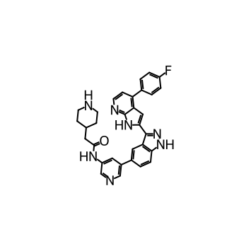 O=C(CC1CCNCC1)Nc1cncc(-c2ccc3[nH]nc(-c4cc5c(-c6ccc(F)cc6)ccnc5[nH]4)c3c2)c1